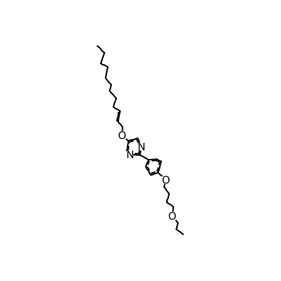 CCCCCCCCCC=CCOc1cnc(-c2ccc(OCCCCOCCC)cc2)nc1